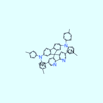 Cc1ccc(N(c2ccc(C)cc2)c2ccc3c(c2)C2(c4cc(N(c5ccc(C)cc5)c5ccc(C)cc5)ccc4-3)c3cc(C#N)cnc3-c3ncc(C#N)cc32)cc1